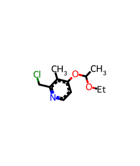 CCOC(C)Oc1ccnc(CCl)c1C